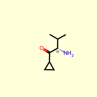 CC(C)[C@H](N)C(=O)C1CC1